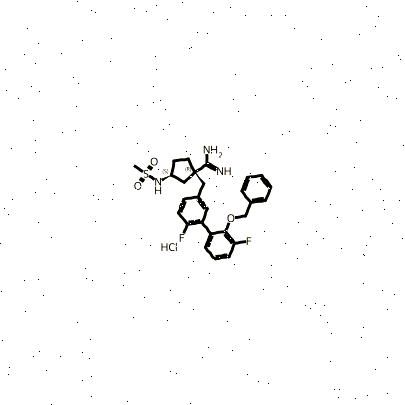 CS(=O)(=O)N[C@H]1CC[C@](Cc2ccc(F)c(-c3cccc(F)c3OCc3ccccc3)c2)(C(=N)N)C1.Cl